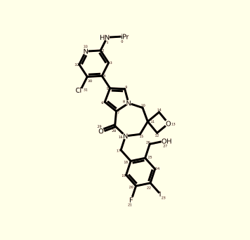 CC(C)Nc1cc(-c2cc3n(c2)CC2(COC2)CN(Cc2cc(F)c(I)cc2CO)C3=O)c(Cl)cn1